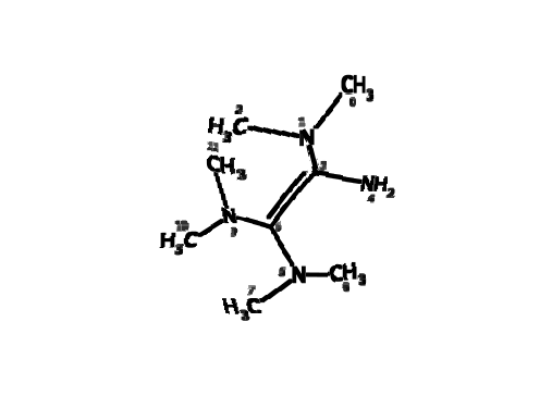 CN(C)C(N)=C(N(C)C)N(C)C